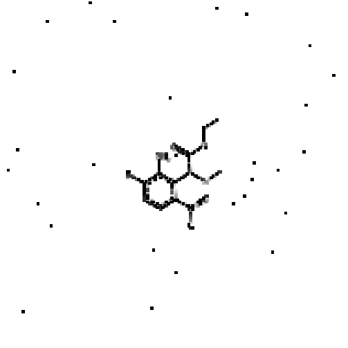 CCOC(=O)C(SC)c1c([N+](=O)[O-])ccc(F)c1N